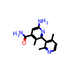 Cc1ccnc(C)c1-c1nc(N)cc(C(N)=O)c1C